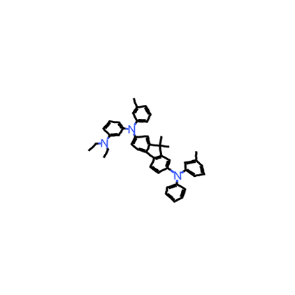 CCN(CC)c1cccc(N(c2cccc(C)c2)c2ccc3c(c2)C(C)(C)c2cc(N(c4ccccc4)c4cccc(C)c4)ccc2-3)c1